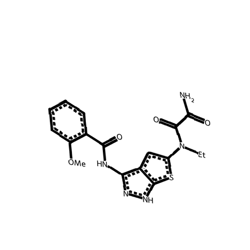 CCN(C(=O)C(N)=O)c1cc2c(NC(=O)c3ccccc3OC)n[nH]c2s1